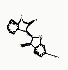 Bc1ccc2c(c1)N/C(=C1\C(=O)Nc3ccccc31)C2=O